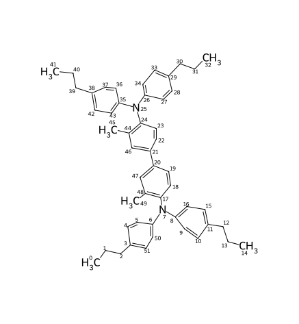 CCCc1ccc(N(c2ccc(CCC)cc2)c2ccc(-c3ccc(N(c4ccc(CCC)cc4)c4ccc(CCC)cc4)c(C)c3)cc2C)cc1